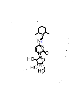 CC1CCCC(C)N1/C=N/c1ccn([C@@H]2O[C@H](CO)C(O)C2O)c(=O)n1